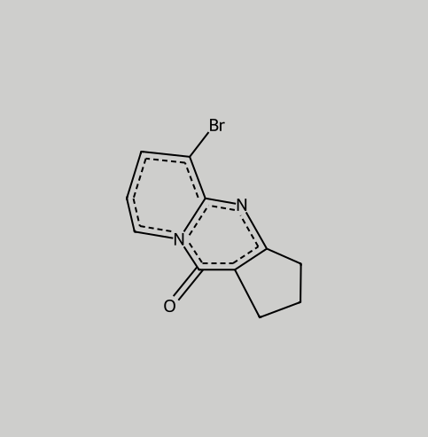 O=c1c2c(nc3c(Br)cccn13)CCC2